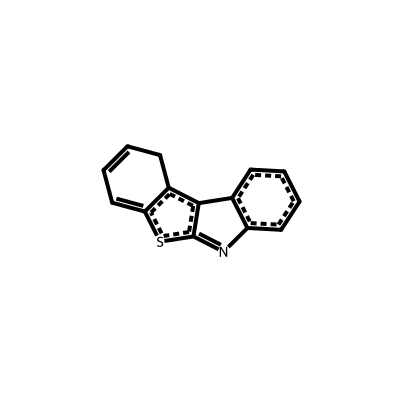 C1=CCc2c3c(sc2=C1)=Nc1ccccc1-3